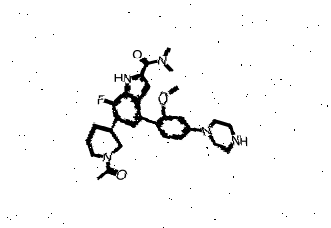 COc1cc(N2CCNCC2)ccc1-c1cc([C@@H]2CCCN(C(C)=O)C2)c(F)c2[nH]c(C(=O)N(C)C)cc12